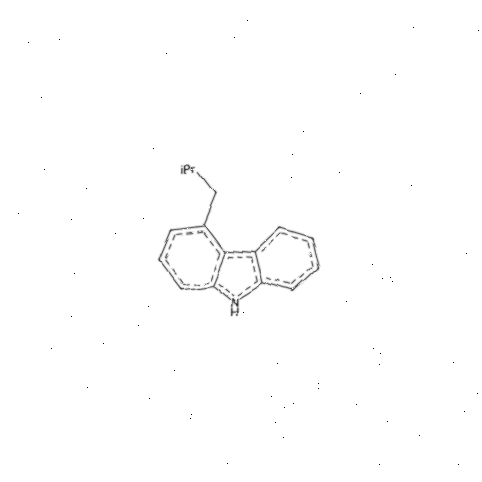 CC(C)Cc1cccc2[nH]c3ccccc3c12